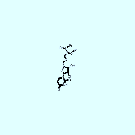 CC(C)OP(COC[C@H]1O[C@@H](n2ccc(=O)[nH]c2=O)[C@](C)(Cl)[C@@H]1O)N(C(C)C)C(C)C